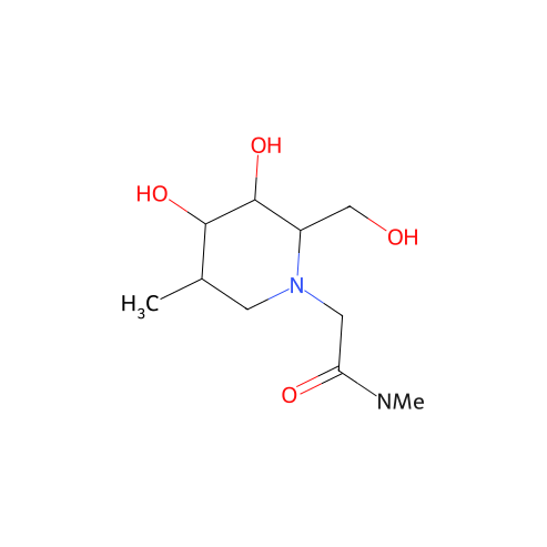 CNC(=O)CN1CC(C)C(O)C(O)C1CO